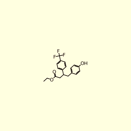 CCOC(=O)CC(Cc1ccc(O)cc1)c1ccc(C(F)(F)F)cc1